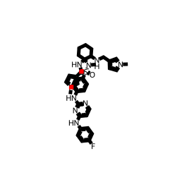 CN(C1(NCc2ccn(C)c2)CCCCC1NCc1ccn(C)c1)S(=O)(=O)c1ccc(Nc2nccc(Nc3ccc(F)cc3)n2)cc1